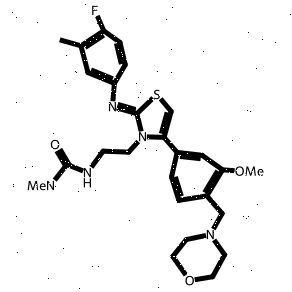 CNC(=O)NCCn1c(-c2ccc(CN3CCOCC3)c(OC)c2)csc1=Nc1ccc(F)c(C)c1